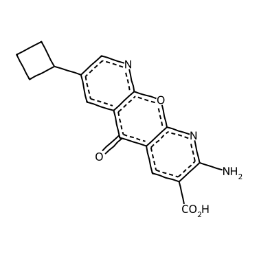 Nc1nc2oc3ncc(C4CCC4)cc3c(=O)c2cc1C(=O)O